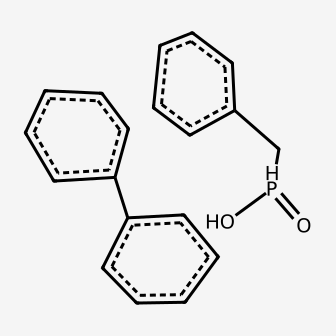 O=[PH](O)Cc1ccccc1.c1ccc(-c2ccccc2)cc1